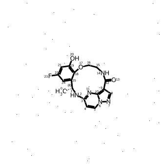 C[C@H]1Nc2ccn3ncc(c3n2)C(=O)NCCOc2c(O)cc(F)cc21